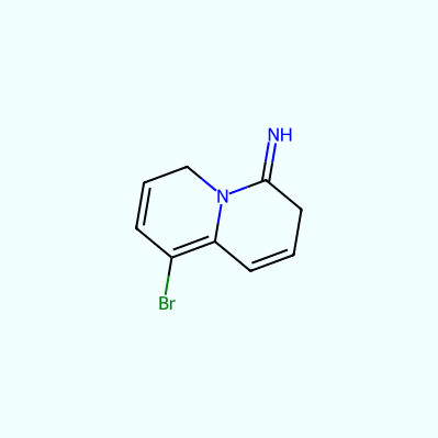 N=C1CC=CC2=C(Br)C=CCN12